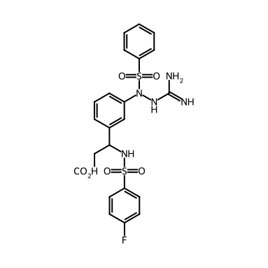 N=C(N)NN(c1cccc(C(CC(=O)O)NS(=O)(=O)c2ccc(F)cc2)c1)S(=O)(=O)c1ccccc1